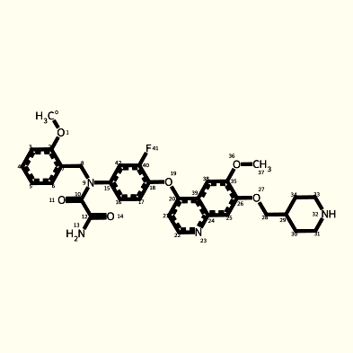 COc1ccccc1CN(C(=O)C(N)=O)c1ccc(Oc2ccnc3cc(OCC4CCNCC4)c(OC)cc23)c(F)c1